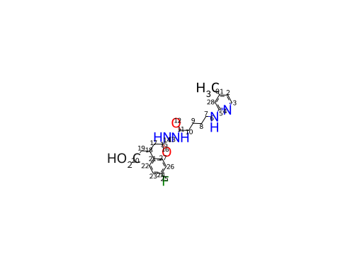 Cc1ccnc(NCCCCC(=O)NNC(=O)CC(CC(=O)O)c2ccc(F)cc2)c1